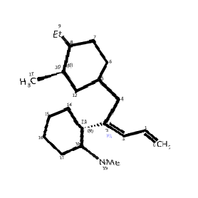 C=C/C=C(\CC1CCC(CC)[C@H](C)C1)[C@H]1CCCCC1NC